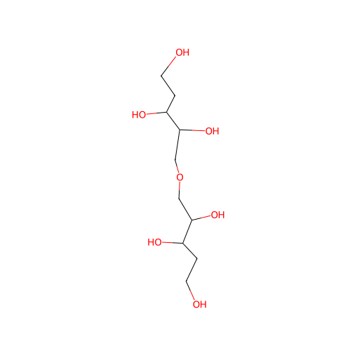 OCCC(O)C(O)COCC(O)C(O)CCO